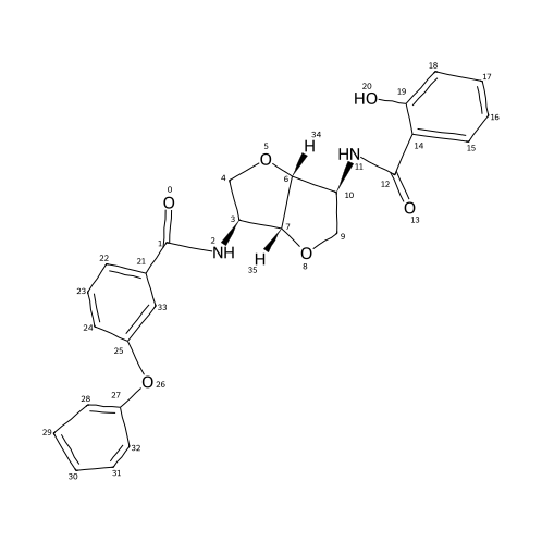 O=C(N[C@H]1CO[C@H]2[C@@H]1OC[C@@H]2NC(=O)c1ccccc1O)c1cccc(Oc2ccccc2)c1